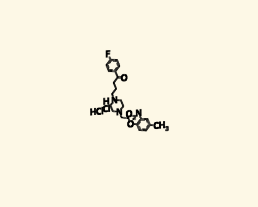 Cc1ccc(OCCN2CCN(CCCC(=O)c3ccc(F)cc3)CC2)c([N+](=O)[O-])c1.Cl.Cl